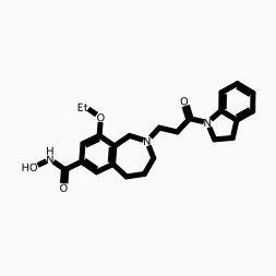 CCOc1cc(C(=O)NO)cc2c1CN(CCC(=O)N1CCc3ccccc31)CCC2